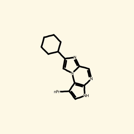 CCCc1c[nH]c2ncc3nc(C4CCCCC4)cn3c12